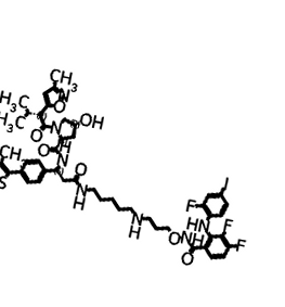 Cc1cc([C@H](C(=O)N2C[C@H](O)C[C@H]2C(=O)N[C@@H](CC(=O)NCCCCCNCCCONC(=O)c2ccc(F)c(F)c2Nc2ccc(I)cc2F)c2ccc(-c3scnc3C)cc2)C(C)C)on1